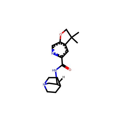 CC1(C)COc2cnc(C(=O)N[C@H]3CN4CCC3CC4)cc21